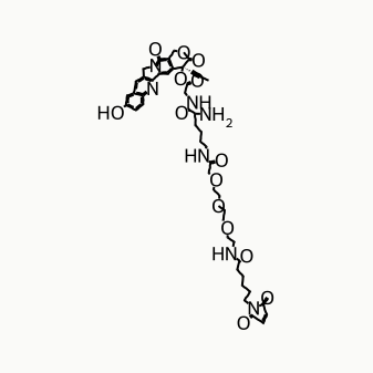 CC#C[C@@]1(OC(=O)CNC(=O)C(N)CCCCNC(=O)COCCOCCOCCNC(=O)CCCCCN2C(=O)C=CC2=O)C(=O)OCc2c1cc1n(c2=O)Cc2cc3cc(O)ccc3nc2-1